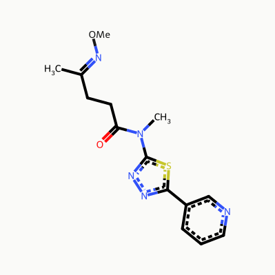 CON=C(C)CCC(=O)N(C)c1nnc(-c2cccnc2)s1